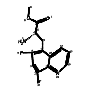 COC(=O)[C@@H](N)Cc1c(F)cc(Br)c2ncccc12